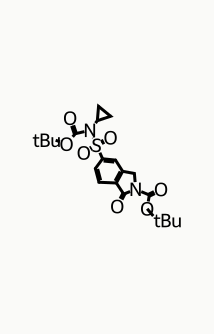 CC(C)(C)OC(=O)N1Cc2cc(S(=O)(=O)N(C(=O)OC(C)(C)C)C3CC3)ccc2C1=O